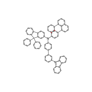 c1ccc(-c2cccc3cccc(-c4ccc(N(c5ccc(-c6cccc(-n7c8ccccc8c8ccccc87)c6)cc5)c5ccc6c(c5)C(c5ccccc5)(c5ccccc5)c5ccccc5-6)cc4)c23)cc1